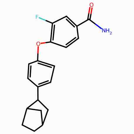 NC(=O)c1ccc(Oc2ccc(C3CC4CCC3C4)cc2)c(F)c1